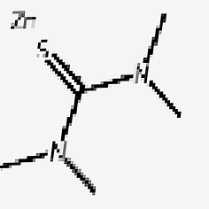 CN(C)C(=S)N(C)C.[Zn]